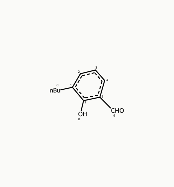 CCCCc1cccc(C=O)c1O